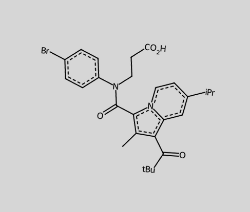 Cc1c(C(=O)C(C)(C)C)c2cc(C(C)C)ccn2c1C(=O)N(CCC(=O)O)c1ccc(Br)cc1